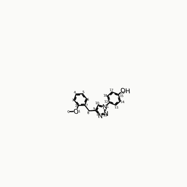 COc1ccccc1Cc1cn(-c2ccc(O)cc2)nn1